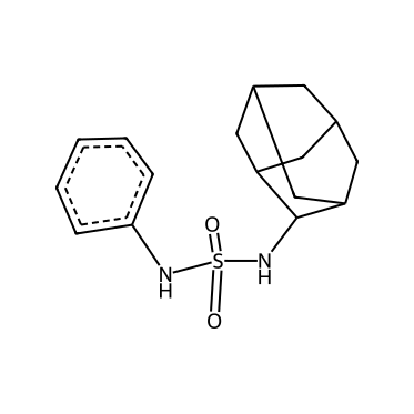 O=S(=O)(Nc1ccccc1)NC1C2CC3CC(C2)CC1C3